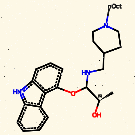 CCCCCCCCN1CCC(CNC(Oc2cccc3[nH]c4ccccc4c23)[C@H](C)O)CC1